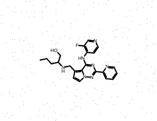 CCCC(CO)NCc1ccn2nc(-c3ccccn3)nc(Nc3ccncc3F)c12